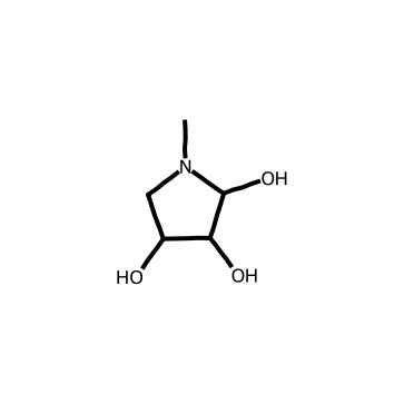 CN1CC(O)C(O)C1O